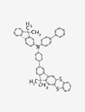 CC1(C)c2ccccc2-c2ccc(N(c3ccc(-c4ccccc4)cc3)c3ccc(-c4ccc5c(c4)-c4cc6c(cc4C5(C)C)Sc4ccccc4S6)cc3)cc21